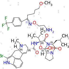 CC(C)C[C@H]1C(=O)N2CCC[C@H]2[C@]2(O)O[C@](NC(=O)[C@@H]3C=C4c5cccc6[nH]c(Br)c(c56)C[C@H]4N(C)C3)(C(C)C)C(=O)N12.COCCCC/C(=N\OCCN)c1ccc(C(F)(F)F)cc1